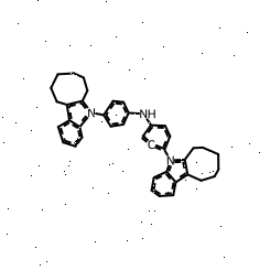 c1ccc2c(c1)c1c(n2-c2ccc(Nc3ccc(-n4c5c(c6ccccc64)CCCCCC5)cc3)cc2)CCCCCC1